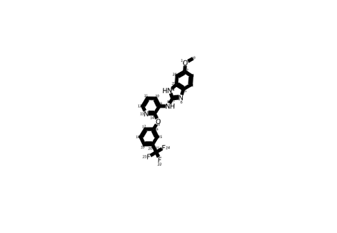 COc1ccc2nc(Nc3cccnc3Oc3cccc(C(F)(F)F)c3)[nH]c2c1